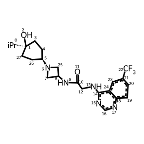 CC(C)[C@]1(O)CC[C@@H](N2CC(NC(=O)CNc3ncnc4ccc(C(F)(F)F)cc34)C2)CC1